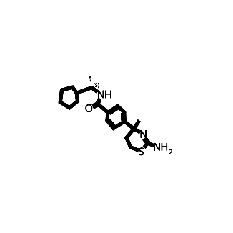 C[C@H](NC(=O)c1ccc(C2(C)CCSC(N)=N2)cc1)C1CCCCC1